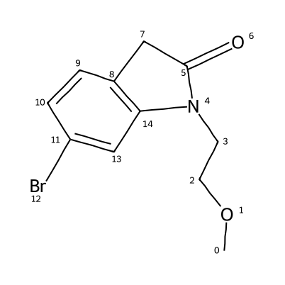 COCCN1C(=O)Cc2ccc(Br)cc21